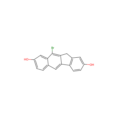 Oc1ccc2c(c1)Cc1c-2cc2ccc(O)cc2c1Br